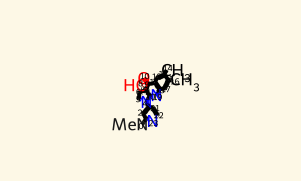 CNc1cc(N2CC[C@@]3(O)C(=O)c4cc(C)c(C)cc4N=C23)ccn1